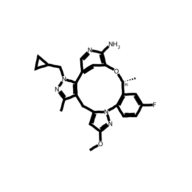 COc1cc2n(n1)-c1ccc(F)cc1[C@@H](C)Oc1cc(cnc1N)-c1c(c(C)nn1CC1CC1)C2